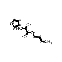 CC=CCOC(=O)C(=O)O.c1ccoc1